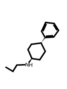 CCCN[C@H]1CC[C@H](c2ccccc2)CC1